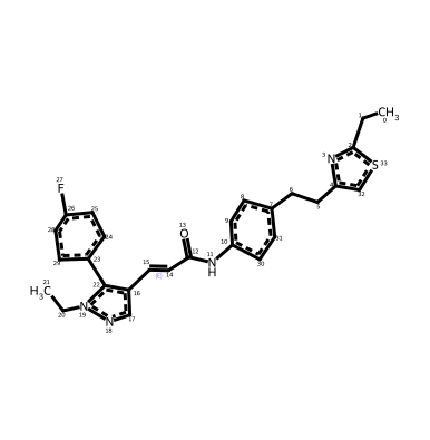 CCc1nc(CCc2ccc(NC(=O)/C=C/c3cnn(CC)c3-c3ccc(F)cc3)cc2)cs1